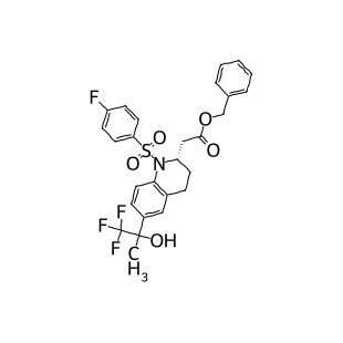 CC(O)(c1ccc2c(c1)CC[C@@H](CC(=O)OCc1ccccc1)N2S(=O)(=O)c1ccc(F)cc1)C(F)(F)F